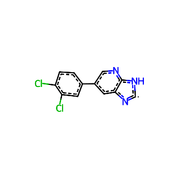 Clc1ccc(-c2cnc3[nH][c]nc3c2)cc1Cl